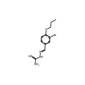 N=C(N)N/N=C/c1ccc(OCCF)c(Br)c1